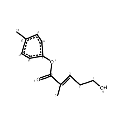 CC(=CCCO)C(=O)Oc1ccc(C)cc1